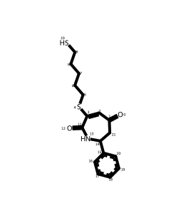 O=C1C=C(SCCCCCS)C(=O)NC(c2ccccc2)C1